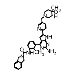 Cc1c(NC(=O)N2Cc3ccccc3C2)cccc1-c1nc(N)nc2[nH]c(-c3ccc(CN4CCC(C)(O)CC4)cn3)cc12